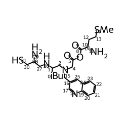 CCC(C)C(CN(CC(=O)OC(=O)[C@@H](N)CCSC)Cc1cnc2ccccc2c1)NC[C@@H](N)CS